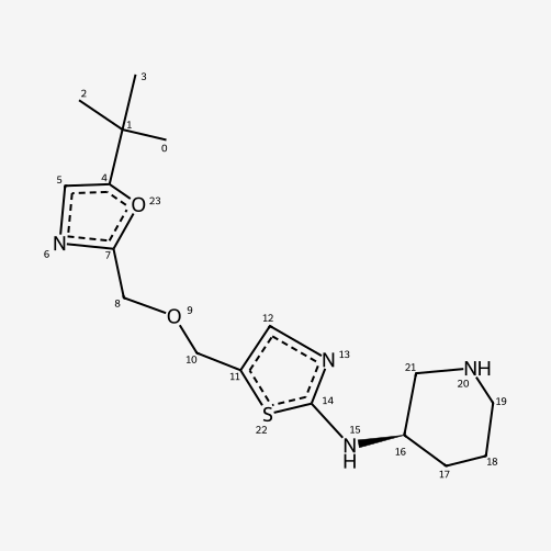 CC(C)(C)c1cnc(COCc2cnc(N[C@@H]3CCCNC3)s2)o1